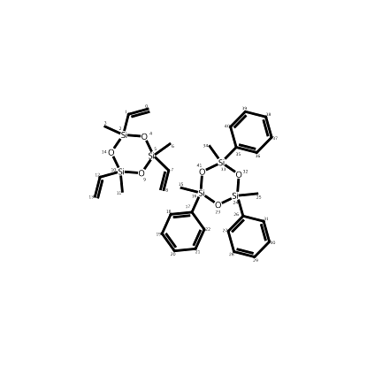 C=C[Si]1(C)O[Si](C)(C=C)O[Si](C)(C=C)O1.C[Si]1(c2ccccc2)O[Si](C)(c2ccccc2)O[Si](C)(c2ccccc2)O1